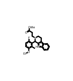 CCOc1ccc(F)c(C2c3[nH]c4ccccc4c3CCN2CCC(=O)OC)c1C